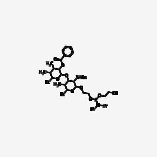 CCC1OC(OC2C(C)C(CC)OC(OCCOP(OCCC#N)N(C(C)C)C(C)C)C2NC(C)=O)C(OC(=O)c2ccccc2)C(C)C1C